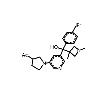 CC(=O)C1CCN(c2cncc(C(O)(c3ccc(C(C)C)cc3)C3(C)CN(C)C3)c2)C1